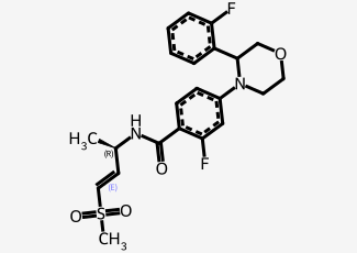 C[C@H](/C=C/S(C)(=O)=O)NC(=O)c1ccc(N2CCOCC2c2ccccc2F)cc1F